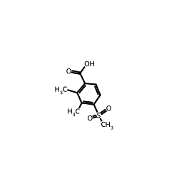 Cc1c(C(=O)O)ccc(S(C)(=O)=O)c1C